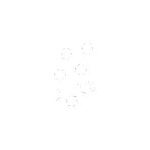 C=C(NCc1ccc(Cc2ccccc2)cc1)c1cccc(C2=CNNC(c3ccc(Cc4ccccc4)cc3)N2)c1